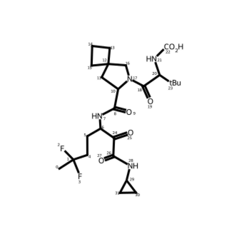 CC(F)(F)CCC(NC(=O)C1CC2(CCC2)CN1C(=O)C(NC(=O)O)C(C)(C)C)C(=O)C(=O)NC1CC1